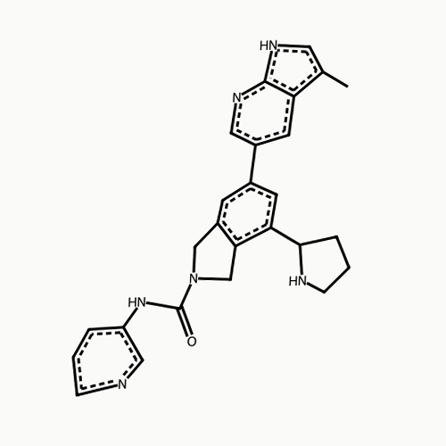 Cc1c[nH]c2ncc(-c3cc4c(c(C5CCCN5)c3)CN(C(=O)Nc3cccnc3)C4)cc12